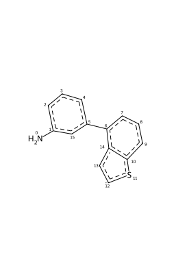 Nc1cccc(-c2cccc3s[c]cc23)c1